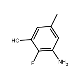 Cc1cc(N)c(F)c(O)c1